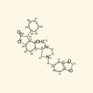 O=CN1CCN(Cc2ccc3c(c2)OCO3)CC1c1ccc2c(c1)C(c1ccccc1)C(=O)O2